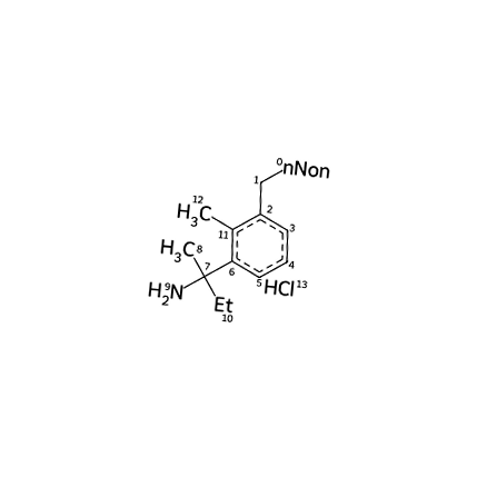 CCCCCCCCCCc1cccc(C(C)(N)CC)c1C.Cl